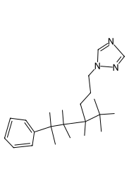 CC(C)(C)C(C)(CCCn1cncn1)C(C)(C)C(C)(C)c1ccccc1